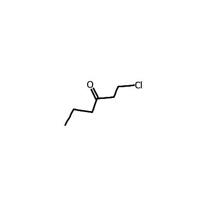 CCCC(=O)CCCl